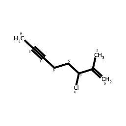 C=C(C)C(Cl)CCC#CC